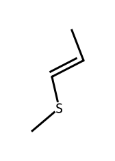 CC=CSC